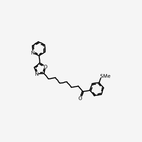 CSc1cccc(C(=O)CCCCCCc2ncc(-c3ccccn3)o2)c1